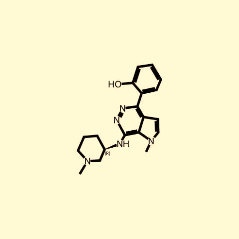 CN1CCC[C@@H](Nc2nnc(-c3ccccc3O)c3ccn(C)c23)C1